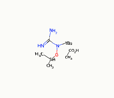 CC(=O)O.C[SiH](C)ON(C(=N)N)C(C)(C)C